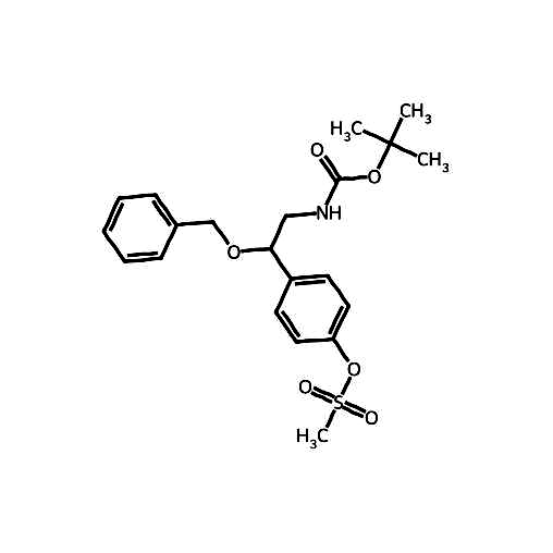 CC(C)(C)OC(=O)NCC(OCc1ccccc1)c1ccc(OS(C)(=O)=O)cc1